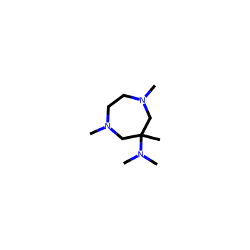 CN1CCN(C)CC(C)(N(C)C)C1